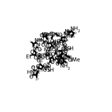 CC[C@H]1O[C@@H](n2cc(C)c(N)nc2=O)C[C@H]1OP(=O)(S)OC[C@H]1O[C@@H](n2cc(C)c(=O)[nH]c2=O)C[C@H]1OP(=O)(S)OC[C@H]1O[C@@H](n2cc(C)c(N)nc2=O)C(OCCOC)[C@H]1OP(=O)(O)OC[C@H]1O[C@@H](n2cc(C)c(=O)[nH]c2=O)C(OCCOC)[C@H]1OP(=O)(S)OC[C@H]1O[C@@H](n2cc(C)c(N)nc2=O)C(OCCOC)[C@H]1OP(=O)(S)OC[C@H]1O[C@@H](n2cnc3c(N)ccnc32)C(OCCOC)[C@H]1O